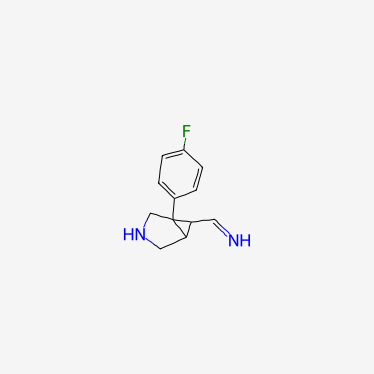 N=CC1C2CNCC12c1ccc(F)cc1